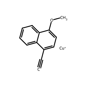 [C-]#Cc1ccc(OC)c2ccccc12.[Cu+]